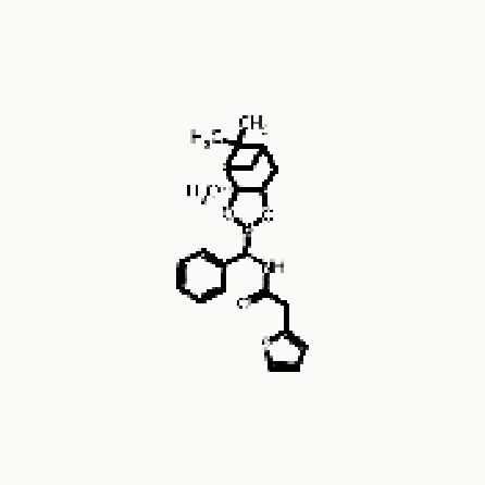 CC1(C)C2CC3OB([C@@H](NC(=O)Cc4cccs4)c4ccccc4)O[C@@]3(C)C1C2